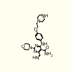 N=Cc1nc(N2CCOCC2)nc(Nc2ccc(OCCN3CCNCC3)cc2)c1C(N)=O